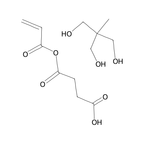 C=CC(=O)OC(=O)CCC(=O)O.CC(CO)(CO)CO